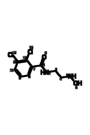 O=C(NCCNO)c1cccc(Cl)c1Cl